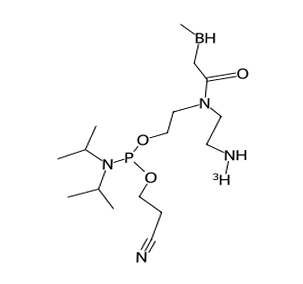 [3H]NCCN(CCOP(OCCC#N)N(C(C)C)C(C)C)C(=O)CBC